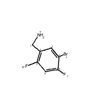 NCc1cc(Br)c(F)cc1F